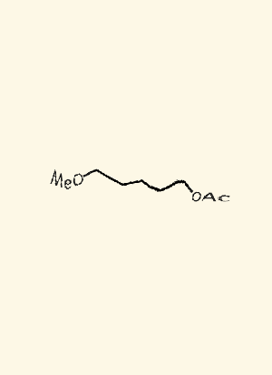 COCCCCCOC(C)=O